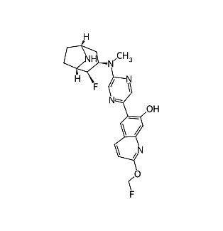 CN(c1cnc(-c2cc3ccc(OCF)nc3cc2O)cn1)[C@@H]1C[C@H]2CC[C@H](N2)[C@@H]1F